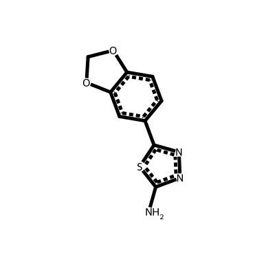 Nc1nnc(-c2ccc3c(c2)OCO3)s1